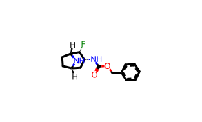 O=C(N[C@@H]1C[C@@H]2CC[C@@H](N2)[C@@H]1F)OCc1ccccc1